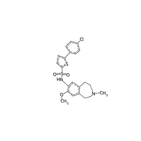 COc1cc2c(cc1NS(=O)(=O)c1ccc(-c3ccc(Cl)cc3)s1)CCN(C)CC2